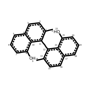 Cc1ccc2cccc(O)c2c1-c1c(C)ccc2cccc(O)c12